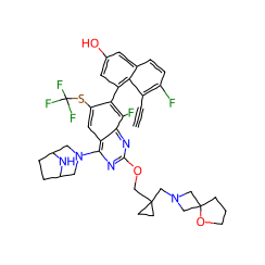 C#Cc1c(F)ccc2cc(O)cc(-c3c(SC(F)(F)F)cc4c(N5CC6CCC(C5)N6)nc(OCC5(CN6CC7(CCCO7)C6)CC5)nc4c3F)c12